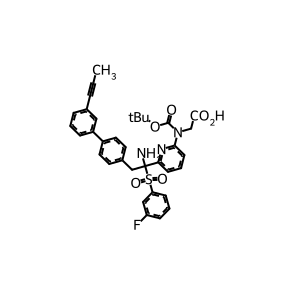 CC#Cc1cccc(-c2ccc(CC(N)(c3cccc(N(CC(=O)O)C(=O)OC(C)(C)C)n3)S(=O)(=O)c3cccc(F)c3)cc2)c1